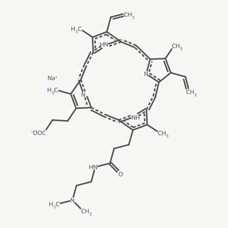 C=CC1=C(C)c2cc3[nH]c(cc4nc(cc5[nH]c(cc1n2)c(C)c5CCC(=O)NCCN(C)C)C(CCC(=O)[O-])=C4C)c(C)c3C=C.[Na+]